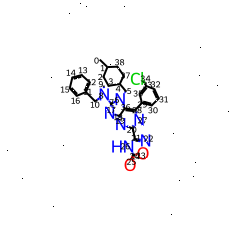 CC1CCC(Cn2c(N(C)Cc3ccccc3)nc3nc(-c4noc(=O)[nH]4)nc(-c4cccc(Cl)c4)c32)CC1